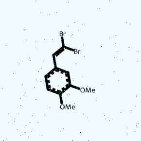 COc1ccc(C=C(Br)Br)cc1OC